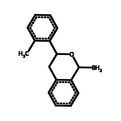 BC1OC(c2ccccc2C)Cc2ccccc21